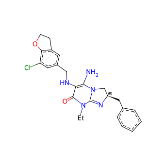 CCN1C(=O)C(NCc2cc(Cl)c3c(c2)CCO3)=C(N)N2C[C@@H](Cc3ccccc3)N=C12